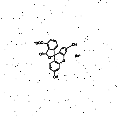 O=C([O-])c1cccc2c1C(=O)OC21c2ccc(O)cc2Oc2cc(O)ccc21.[Na+]